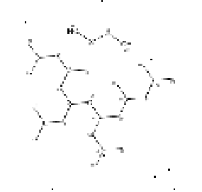 CC(C)CC(C)CC(CC(C)C)OC(CC(C)C)CC(C)CC(C)C.OCCO